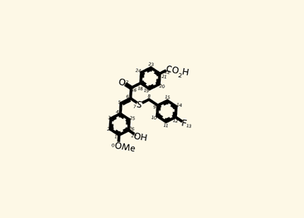 COc1ccc(C=C(SCc2ccc(F)cc2)C(=O)c2ccc(C(=O)O)cc2)cc1O